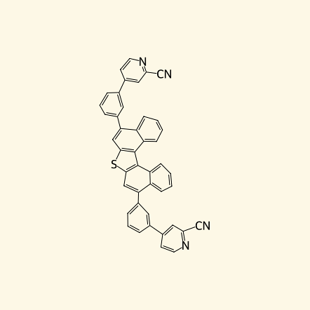 N#Cc1cc(-c2cccc(-c3cc4sc5cc(-c6cccc(-c7ccnc(C#N)c7)c6)c6ccccc6c5c4c4ccccc34)c2)ccn1